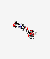 CCO[Si](CCCOc1ccc(N(CC2CC2)CC2CO2)cc1)(OCC)OCC